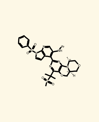 CC(C)Nc1cnc2c(ccn2S(=O)(=O)c2ccccc2)c1-c1nc2c(c(C(C)(C)S(C)(=O)=O)n1)OC[C@@H]1COC[C@@H](C)N21